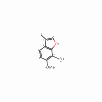 COc1ccc2c(C)coc2c1C(C)(C)C